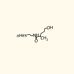 C=C(CCCO)C(=O)NCCCCCCCC